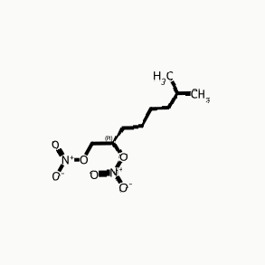 CC(C)CCCC[C@H](CO[N+](=O)[O-])O[N+](=O)[O-]